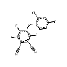 N#Cc1c(F)c(F)c(Oc2ccc(Cl)cc2Cl)c(F)c1C#N